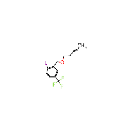 C/C=C/CCOCc1cc(C(F)(F)F)ccc1I